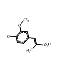 C/C(=C\c1ccc(Cl)c(OC(F)(F)F)c1)C(=O)O